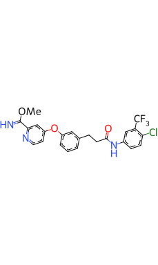 COC(=N)c1cc(Oc2cccc(CCC(=O)Nc3ccc(Cl)c(C(F)(F)F)c3)c2)ccn1